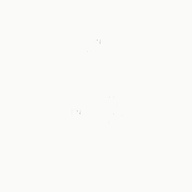 NC(=O)c1cccc(-c2ccc(CNC3Cc4ccccc4C3)cc2)c1.O=C(O)C(F)(F)F